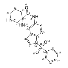 O=C1Nc2cnc3c(ccn3S(=O)(=O)c3ccccc3)c2NC12CCCNC2